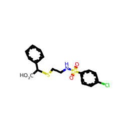 O=C(O)C(SCCNS(=O)(=O)c1ccc(Cl)cc1)c1ccccc1